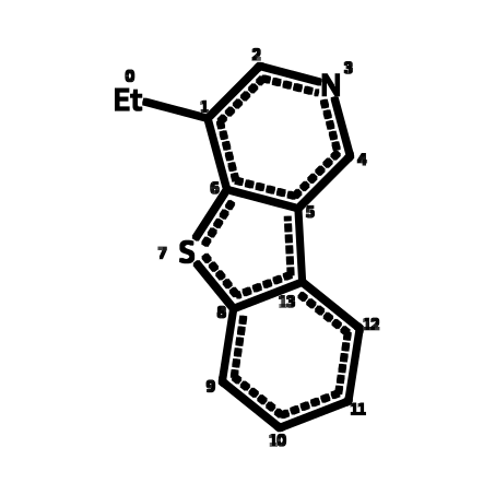 CCc1cncc2c1sc1ccccc12